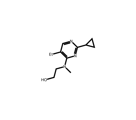 CCc1cnc(C2CC2)nc1N(C)CCO